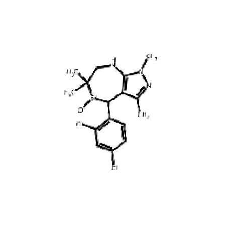 Cc1nn(C)c2c1C(c1ccc(Cl)cc1Cl)[S+]([O-])C(C)(C)CN2